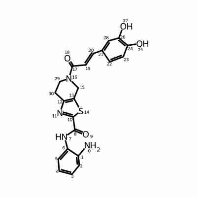 Nc1ccccc1NC(=O)c1nc2c(s1)CN(C(=O)/C=C/c1ccc(O)c(O)c1)CC2